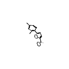 Cc1ccc(-c2ccc([C]=O)o2)c(C)c1